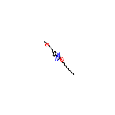 CCCCCCCC=CCCOc1cnc(-c2ccc(CCCCCCOCCC)cc2)nc1